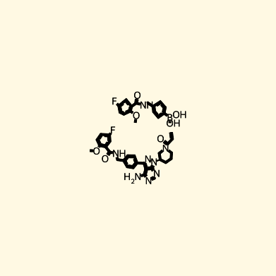 C=CC(=O)N1CCC[C@@H](n2nc(-c3ccc(CNC(=O)c4cc(F)ccc4OC)cc3)c3c(N)ncnc32)C1.COc1ccc(F)cc1C(=O)NCc1ccc(B(O)O)cc1